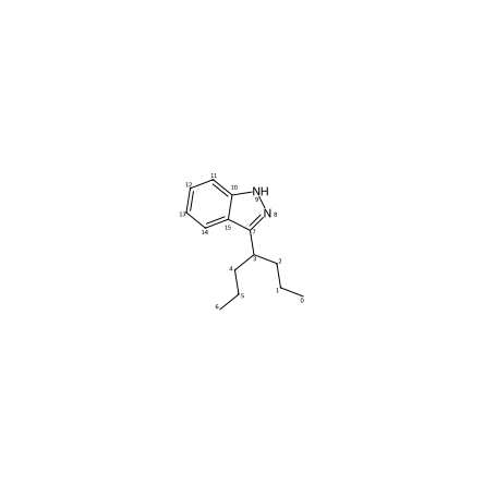 CCCC(CCC)c1n[nH]c2ccccc12